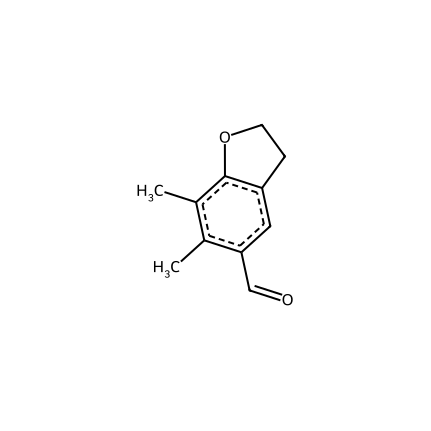 Cc1c(C=O)cc2c(c1C)OCC2